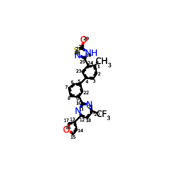 Cc1ccc(-c2cccc(-c3nc(-c4ccoc4)cc(C(F)(F)F)n3)c2)cc1-c1nsc(=O)[nH]1